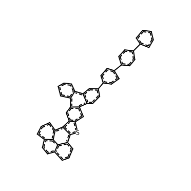 c1ccc(-c2ccc(-c3ccc(-c4ccc5c(c4)c4ccccc4c4cc6c(cc54)sc4c5cccc7ccc8cccc(c64)c8c75)cc3)cc2)cc1